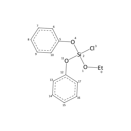 CCO[Si](Cl)(Oc1ccccc1)Oc1ccccc1